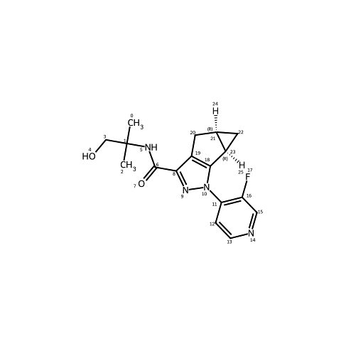 CC(C)(CO)NC(=O)c1nn(-c2ccncc2F)c2c1C[C@H]1C[C@@H]21